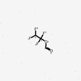 O=[C]OC(F)(F)[C](F)F